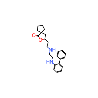 O=C1OC(CCNCCNc2ccccc2-c2ccccc2)CC12CCCC2